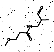 COCCC(=O)NCC(C)C=O